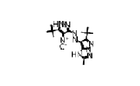 [C-]#[N+]c1c(N=Nc2c(C(C)(C)C)nn3nc(C)[nH]c23)n[nH]c1C(C)(C)C